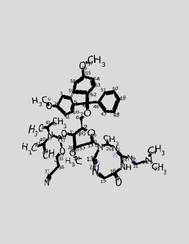 COc1ccc(C(OC[C@H]2O[C@@H](N3/C=N\CC(=O)NC(/N=C/N(C)C)=N\C3C)[C@@H](OC)C2OP(OCCC#N)N(C(C)C)C(C)C)(c2ccccc2)c2ccc(OC)cc2)cc1